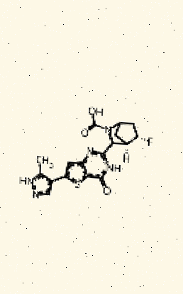 Cc1[nH]ncc1-c1cc2nc(C3[C@H]4CC(C[C@@H]4F)N3C(=O)O)[nH]c(=O)c2s1